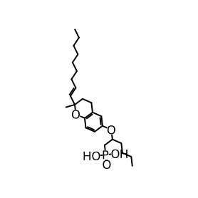 CCCCCCCC=CC1(C)CCc2cc(OC(CCCC)CP(=O)(O)O)ccc2O1